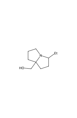 CCC1CCC2(CO)CCCN12